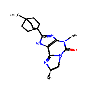 CCC[C@@H]1CN2C(=O)N(CCC)c3nc(C45CCC(C(=O)O)(CC4)CC5)[nH]c3C2=N1